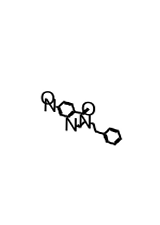 O=Nc1ccc2c(=O)n(CCc3ccccc3)cnc2c1